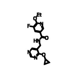 CCOc1ncc(C(=O)NCc2cncnc2OC2CC2)cc1F